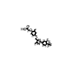 Cc1cc(SCc2nn(-c3ccc(C(F)(F)F)c(F)c3)nc2C)ccc1OCC(=O)O